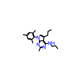 CCCNc1nc(C)nc2c1c(CCC)cn2-c1c(C)cc(C)cc1C